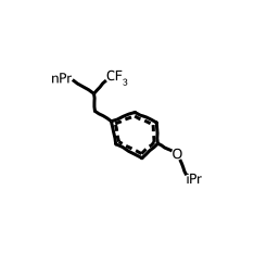 CCCC(Cc1ccc(OC(C)C)cc1)C(F)(F)F